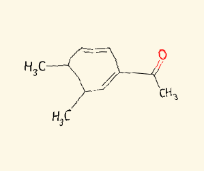 CC(=O)C1=CC(C)C(C)C=C1